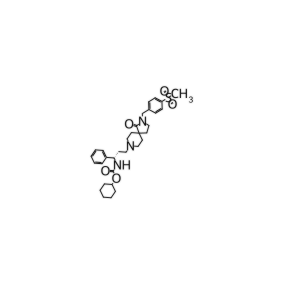 CS(=O)(=O)c1ccc(CN2CCC3(CCN(CC[C@H](NC(=O)OC4CCCCC4)c4ccccc4)CC3)C2=O)cc1